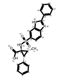 C[C@@H]1[C@H](c2ccccc2)[C@]1(NS(=O)(=O)c1ccc2nc(-c3ccccc3)[nH]c2c1)C(=O)O